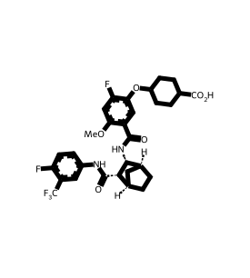 COc1cc(F)c(OC2CCC(C(=O)O)CC2)cc1C(=O)N[C@@H]1[C@H]2CC[C@H](C2)[C@@H]1C(=O)Nc1ccc(F)c(C(F)(F)F)c1